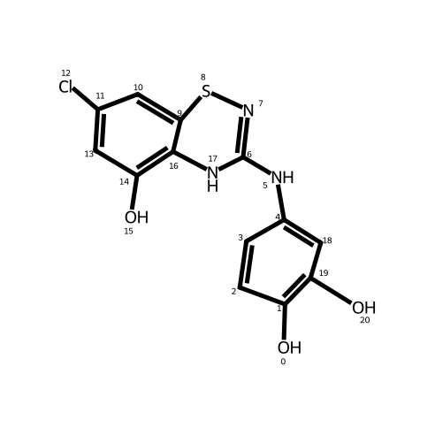 Oc1ccc(NC2=NSc3cc(Cl)cc(O)c3N2)cc1O